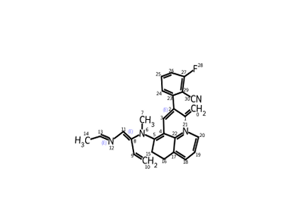 C=C/C(=C\C1=C(N(C)/C(C=C)=C/N=C/C)CCc2cccnc21)c1cccc(F)c1C#N